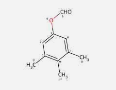 Cc1cc(OC=O)cc(C)c1C